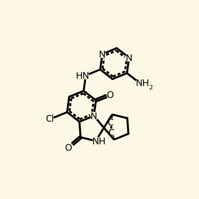 Nc1cc(Nc2cc(Cl)c3n(c2=O)C2(NC3=O)C3CCC2CC3)ncn1